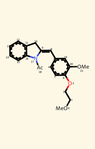 COCCOc1ccc(C=C2Cc3ccccc3N2C(C)=O)cc1OC